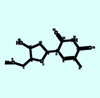 COCC1OC(n2cc(C)c(=O)[nH]c2=O)CC1O